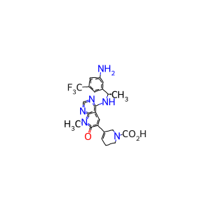 C[C@@H](Nc1ncnc2c1cc(C1=CCCN(C(=O)O)C1)c(=O)n2C)c1cc(N)cc(C(F)(F)F)c1